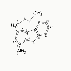 CCCC.[AlH2][c]1cccc2c1Cc1ccccc1-2